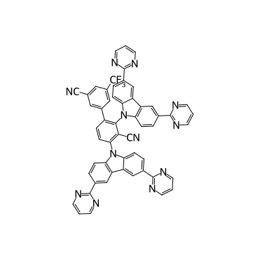 N#Cc1cc(-c2ccc(-n3c4ccc(-c5ncccn5)cc4c4cc(-c5ncccn5)ccc43)c(C#N)c2-n2c3ccc(-c4ncccn4)cc3c3cc(-c4ncccn4)ccc32)cc(C(F)(F)F)c1